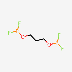 FP(F)OCCCOP(F)F